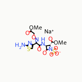 COC(=O)CO/N=C(/C(=O)N[C@H]1C(=O)N(S(=O)(=O)[O-])[C@H]1C(=O)OC)c1csc(N)n1.[Na+]